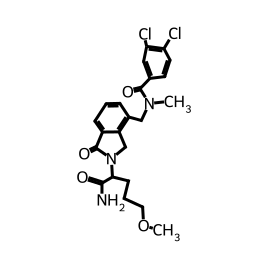 COCCCC(C(N)=O)N1Cc2c(CN(C)C(=O)c3ccc(Cl)c(Cl)c3)cccc2C1=O